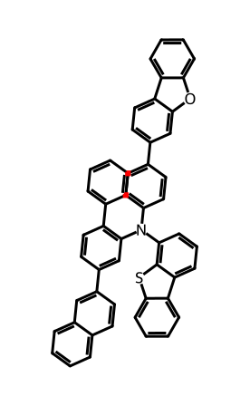 c1ccc(-c2ccc(-c3ccc4ccccc4c3)cc2N(c2ccc(-c3ccc4c(c3)oc3ccccc34)cc2)c2cccc3c2sc2ccccc23)cc1